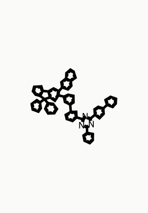 c1ccc(-c2ccc(-c3nc(-c4ccccc4)nc(-c4cccc(-c5cccc(-c6cc7c(cc6-c6ccc8ccccc8c6)-c6ccccc6C7(c6ccccc6)c6ccccc6)c5)c4)n3)cc2)cc1